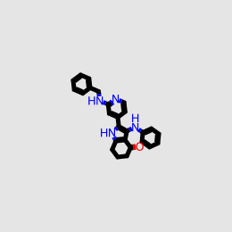 O=C1CCCc2[nH]c(-c3ccnc(NCc4ccccc4)c3)c(Nc3ccccc3)c21